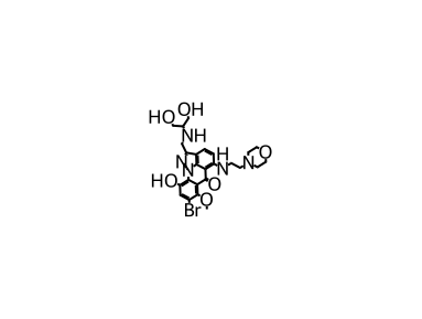 COc1c(Br)cc(O)c2c1c(=O)c1c(NCCN3CCOCC3)ccc3c(CNC(CO)CO)nn2c31